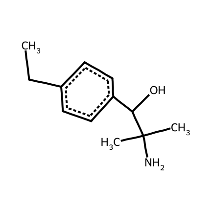 CCc1ccc(C(O)C(C)(C)N)cc1